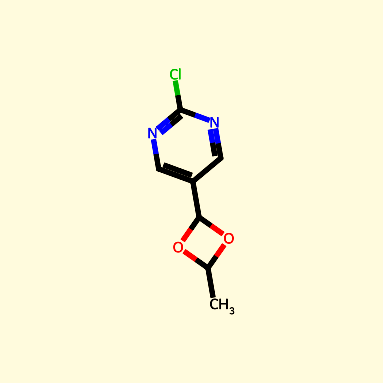 CC1OC(c2cnc(Cl)nc2)O1